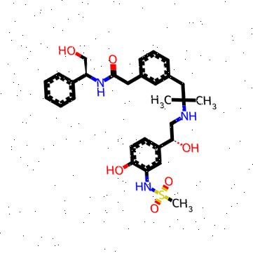 CC(C)(Cc1cccc(CC(=O)N[C@H](CO)c2ccccc2)c1)NC[C@H](O)c1ccc(O)c(NS(C)(=O)=O)c1